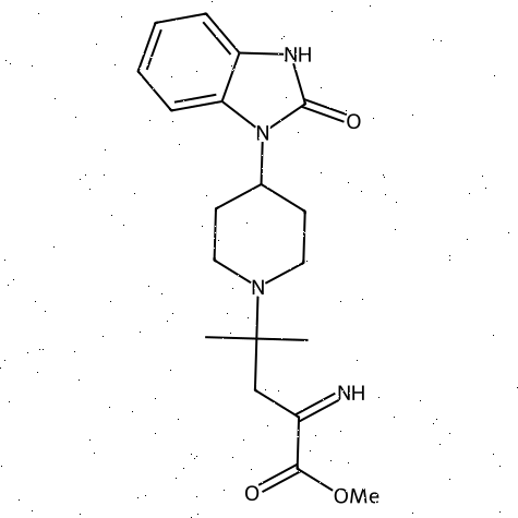 COC(=O)C(=N)CC(C)(C)N1CCC(n2c(=O)[nH]c3ccccc32)CC1